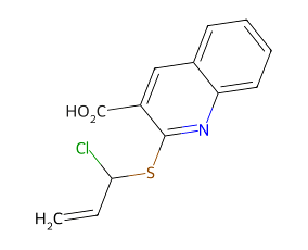 C=CC(Cl)Sc1nc2ccccc2cc1C(=O)O